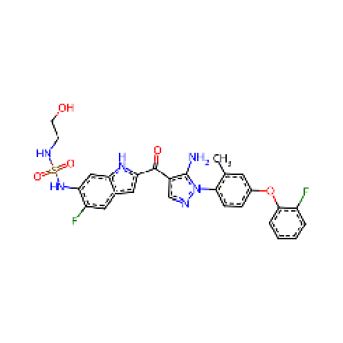 Cc1cc(Oc2ccccc2F)ccc1-n1ncc(C(=O)c2cc3cc(F)c(NS(=O)(=O)NCCO)cc3[nH]2)c1N